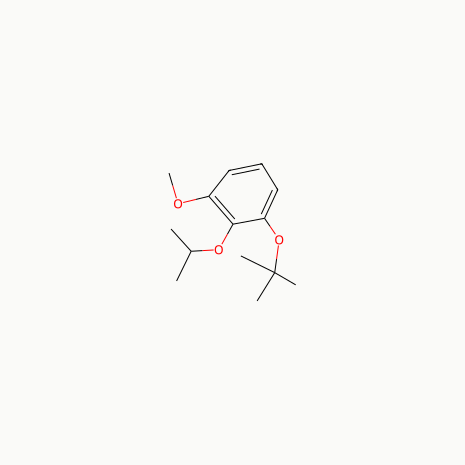 COc1cccc(OC(C)(C)C)c1OC(C)C